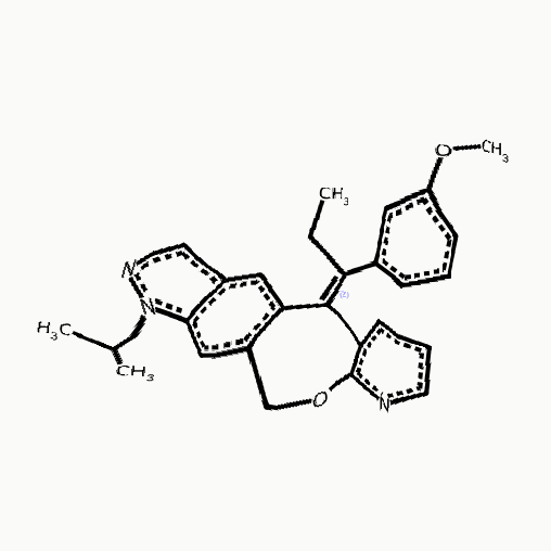 CC/C(=C1\c2cc3cnn(C(C)C)c3cc2COc2ncccc21)c1cccc(OC)c1